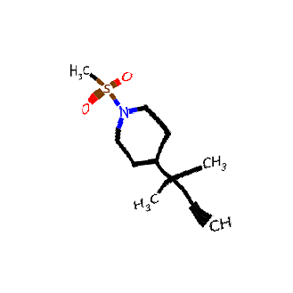 C#CC(C)(C)C1CCN(S(C)(=O)=O)CC1